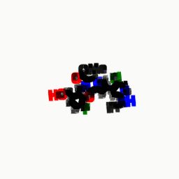 COC(=O)C1Cn2cc(-c3cc(NC(C)C)ncc3Cl)cc2C(=O)N1Cc1cc(F)ccc1CO